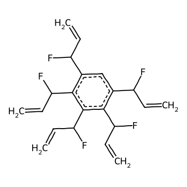 C=CC(F)c1cc(C(F)C=C)c(C(F)C=C)c(C(F)C=C)c1C(F)C=C